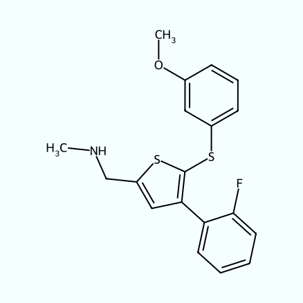 CNCc1cc(-c2ccccc2F)c(Sc2cccc(OC)c2)s1